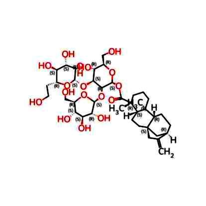 C=C1C[C@@]23CC[C@H]4[C@@](C)(CCC[C@@]4(C)C(=O)O[C@@H]4O[C@H](CO)[C@@H](O)[C@H](O[C@@H]5O[C@H](CCO)[C@@H](O)[C@H](O)[C@H]5O)[C@H]4O[C@@H]4O[C@H](CO)[C@@H](O)[C@H](O)[C@H]4O)[C@@H]2CC[C@@H]1C3